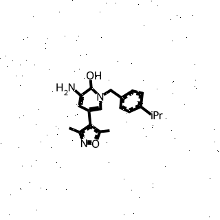 Cc1noc(C)c1C1=CN(Cc2ccc(C(C)C)cc2)C(O)C(N)=C1